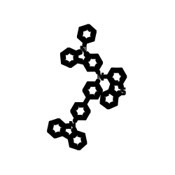 c1ccc(-n2c3ccccc3c3cc(N(c4ccc(-c5ccc(-n6c7ccccc7c7ccccc76)cc5)cc4)c4cccc5sc6ccccc6c45)ccc32)cc1